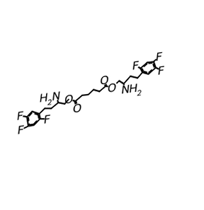 NC(CCc1cc(F)c(F)cc1F)COC(=O)CCCCC(=O)OCC(N)CCc1cc(F)c(F)cc1F